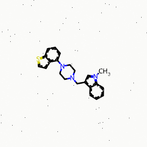 Cn1cc(CN2CCN(c3cccc4sccc34)CC2)c2ccccc21